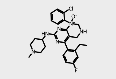 CCc1cc(F)ccc1-c1nc(NC2CCN(C)CC2)nc2c1CNC[N+]2([O-])c1ccccc1Cl